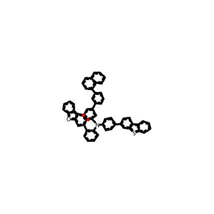 c1cc(-c2cccc(N(c3ccc(-c4ccc5c(c4)sc4ccccc45)cc3)c3ccccc3-c3ccc4c(c3)oc3ccccc34)c2)cc(-c2cccc3ccccc23)c1